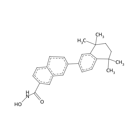 CC1(C)CCC(C)(C)c2cc(-c3ccc4ccc(C(=O)NO)cc4c3)ccc21